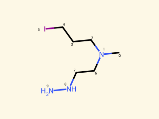 CN(CCCI)CCNN